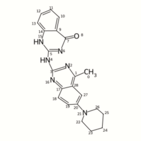 Cc1nc(Nc2nc(=O)c3ccccc3[nH]2)nc2ccc(N3CCCCC3)cc12